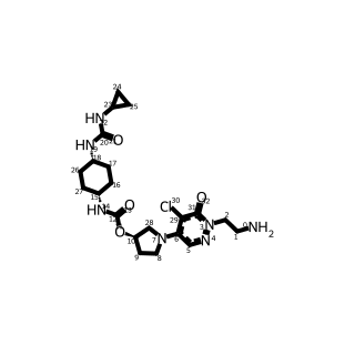 NCCn1ncc(N2CC[C@@H](OC(=O)N[C@H]3CC[C@@H](NC(=O)NC4CC4)CC3)C2)c(Cl)c1=O